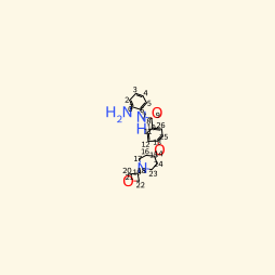 Nc1ccccc1NC(=O)c1ccc(OC2CCN(C3COC3)CC2)cc1